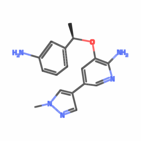 C[C@@H](Oc1cc(-c2cnn(C)c2)cnc1N)c1cccc(N)c1